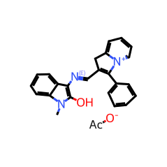 CC(=O)[O-].Cn1c(O)c(/N=C/C2=C(c3ccccc3)[n+]3ccccc3C2)c2ccccc21